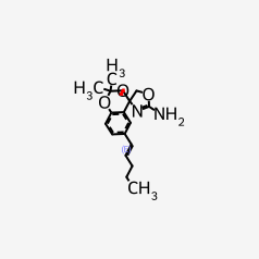 CCC/C=C/c1ccc2c(c1)C1(COC(N)=N1)C1(COC1)C(C)(C)O2